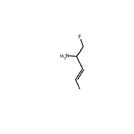 C/C=C/C(N)CF